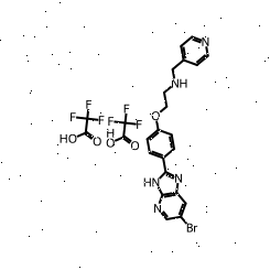 Brc1cnc2[nH]c(-c3ccc(OCCNCc4ccncc4)cc3)nc2c1.O=C(O)C(F)(F)F.O=C(O)C(F)(F)F